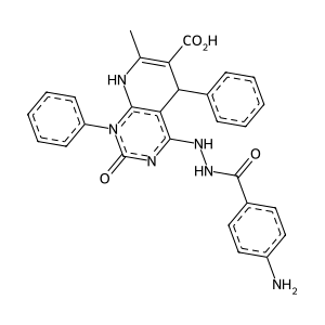 CC1=C(C(=O)O)C(c2ccccc2)c2c(NNC(=O)c3ccc(N)cc3)nc(=O)n(-c3ccccc3)c2N1